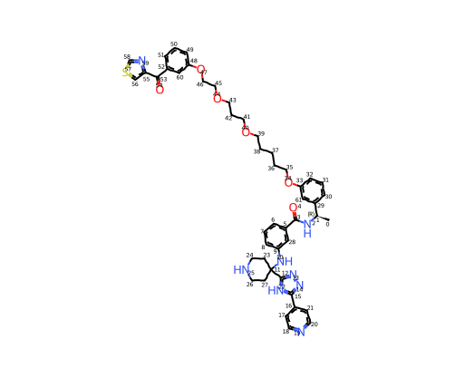 C[C@@H](NC(=O)c1cccc(NC2(c3nnc(-c4ccncc4)[nH]3)CCNCC2)c1)c1cccc(OCCCCCOCCCOCCOc2cccc(C(=O)c3cscn3)c2)c1